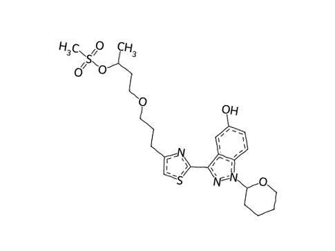 CC(CCOCCCc1csc(-c2nn(C3CCCCO3)c3ccc(O)cc23)n1)OS(C)(=O)=O